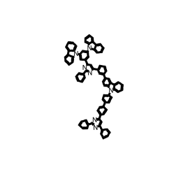 c1ccc(-c2cc(-c3ccc(-c4ccc(-n5c6ccccc6c6cc(-c7cccc(-c8cc(-c9cc(-n%10c%11ccccc%11c%11ccccc%11%10)cc(-n%10c%11ccccc%11c%11ccccc%11%10)c9)nc(-c9ccccc9)n8)c7)ccc65)cc4)cc3)nc(-c3ccccc3)n2)cc1